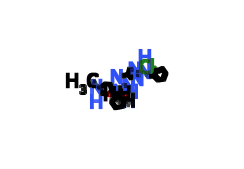 CNC1CCC(N[C@@H]2[C@@H]3CCC[C@H]2CC(CNc2nc(NCc4ccccc4Cl)ncc2C#N)C3)CC1